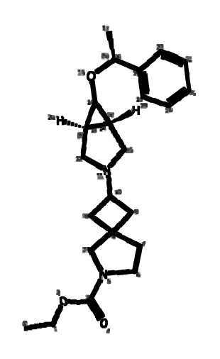 CCOC(=O)N1CCC2(CC(N3C[C@H]4C(O[C@@H](C)c5ccccc5)[C@@H]4C3)C2)C1